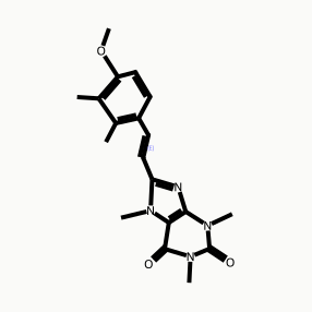 COc1ccc(/C=C/c2nc3c(c(=O)n(C)c(=O)n3C)n2C)c(C)c1C